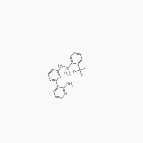 C[C@H](Nc1ccnc(-c2cccnc2N)n1)c1ccccc1C(F)(F)F